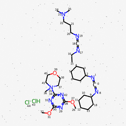 C(=NC1CCCCC1)=NC1CCCCC1.CCN=C=NCCCN(C)C.COc1nc(OC)nc([N+]2(C)CCOCC2)n1.Cl.[Cl-]